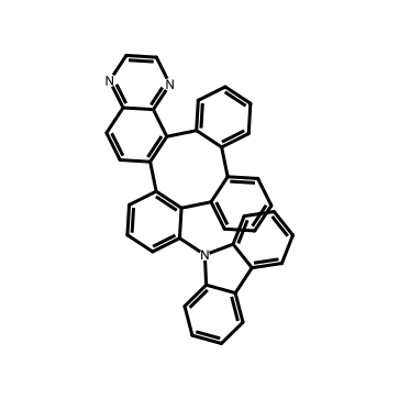 c1ccc2c(c1)-c1ccccc1-c1c(ccc3nccnc13)-c1cccc(-n3c4ccccc4c4ccccc43)c1-2